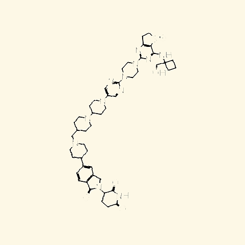 O=C1CCC(N2Cc3cc(C4CCN(CC5CCN(C6CCN(c7cnc(N8CCN(c9nc%10c(c(NC%11(CO)CCC%11)n9)[S@+]([O-])CC%10)CC8)nc7)CC6)CC5)CC4)ccc3C2=O)C(=O)N1